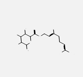 CC(C)=CCC/C(C)=C/CNC(=O)C1OC(O)C(O)C(O)C1O